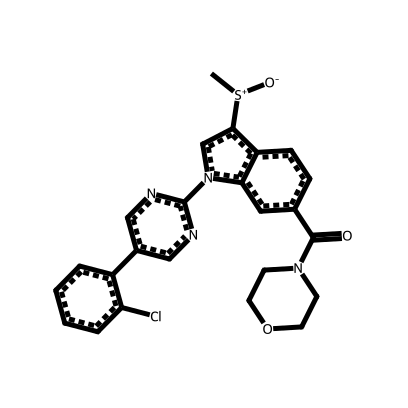 C[S+]([O-])c1cn(-c2ncc(-c3ccccc3Cl)cn2)c2cc(C(=O)N3CCOCC3)ccc12